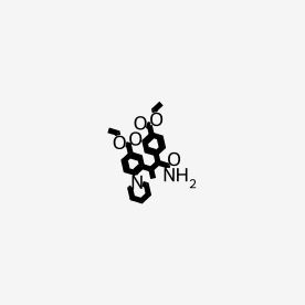 CCOC(=O)c1ccc(C(C(N)=O)C(C)c2cc(C(=O)OCC)ccc2N2CCCCC2)cc1